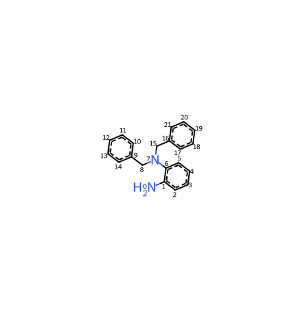 Nc1ccccc1N(Cc1ccccc1)Cc1ccccc1